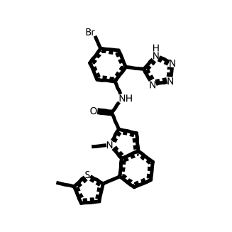 Cc1ccc(-c2cccc3cc(C(=O)Nc4ccc(Br)cc4-c4nnn[nH]4)n(C)c23)s1